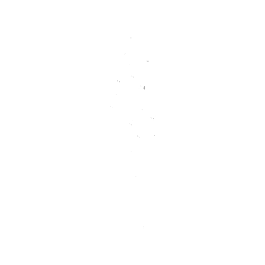 CCCCCCCN1C=NC2=C3NN(c4ccco4)N=C3N=CN21